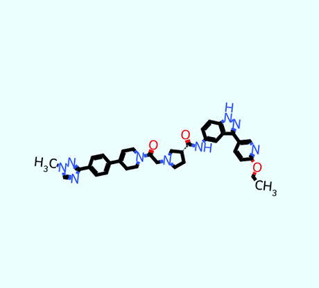 CCOc1ccc(-c2n[nH]c3ccc(NC(=O)[C@@H]4CCN(CC(=O)N5CC=C(c6ccc(-c7ncn(C)n7)cc6)CC5)C4)cc23)cn1